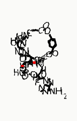 Nc1ncnc2c1ncn2[C@@H]1O[C@@H]2COP3(=O)O[C@@H]4[C@H](F)[C@@H](COP(=O)(O)CO[C@H]2[C@H]1F)O[C@H]4n1cnc2c(=O)[nH]c(nc21)NCCCCC(=O)Oc1ccc(cc1)C(=O)OCS3